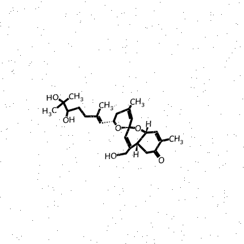 CC1=C[C@]2(C=C(CO)[C@H]3CC(=O)C(C)=C[C@H]3O2)O[C@H](/C=C(\C)CCC(O)C(C)(C)O)C1